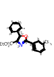 CCOC(=O)c1nc(-c2cccc(C(F)(F)F)c2)oc1-c1ccccc1